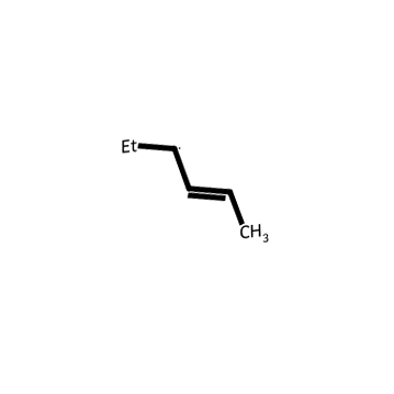 CC=C[CH]CC